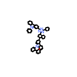 c1ccc(-c2nc(-c3ccc4c5ccccc5n(-c5ccccc5)c4c3)nc(-c3ccc(-c4ccc5c(c4)c4ccccc4n5-c4ccccc4-c4ccccc4)c4ccccc34)n2)cc1